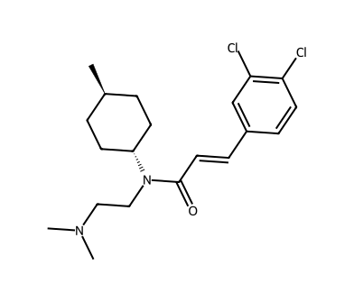 CN(C)CCN(C(=O)C=Cc1ccc(Cl)c(Cl)c1)[C@H]1CC[C@H](C)CC1